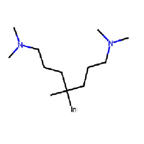 CN(C)CCC[C](C)([In])CCCN(C)C